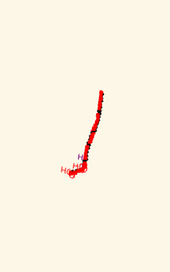 CCCCCCCCCCCCCCCCCCCCCCCCCCCCCCCCCCCCCCPCCCCOP(=O)(O)OCCCCCC(=O)O